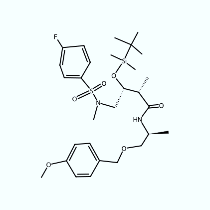 COc1ccc(COC[C@H](C)NC(=O)[C@@H](C)[C@H](CN(C)S(=O)(=O)c2ccc(F)cc2)O[Si](C)(C)C(C)(C)C)cc1